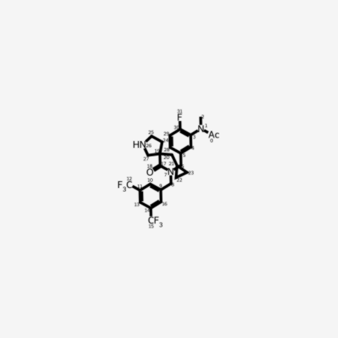 CC(=O)N(C)c1cc(CN(Cc2cc(C(F)(F)F)cc(C(F)(F)F)c2)C(=O)C2(CC3CC3)CCNC2)ccc1F